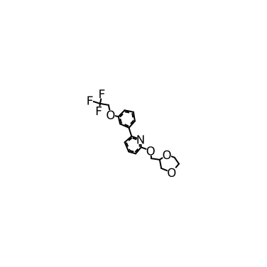 FC(F)(F)COc1cccc(-c2cccc(OCC3COCCO3)n2)c1